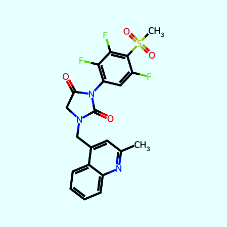 Cc1cc(CN2CC(=O)N(c3cc(F)c(S(C)(=O)=O)c(F)c3F)C2=O)c2ccccc2n1